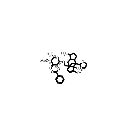 CO[C@H]1C(=O)[C@@H](OC(=O)c2ccccc2)[C@H](OCC23CC4C(C)CCC4C4(C5OCCO5)CC2C=C(C(C)C)C34C(=O)O)O[C@@H]1C